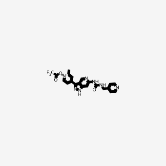 Cc1cc(-c2n[nH]c3cc(NC(=O)NCc4ccncc4)ncc23)cc[n+]1OC(=O)C(F)(F)F